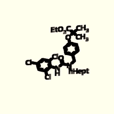 CCCCCCCN(Cc1ccc(OC(C)(C)C(=O)OCC)cc1)C(=O)Nc1c(Cl)cc(Cl)cc1Cl